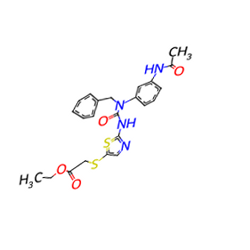 CCOC(=O)CSc1cnc(NC(=O)N(Cc2ccccc2)c2cccc(NC(C)=O)c2)s1